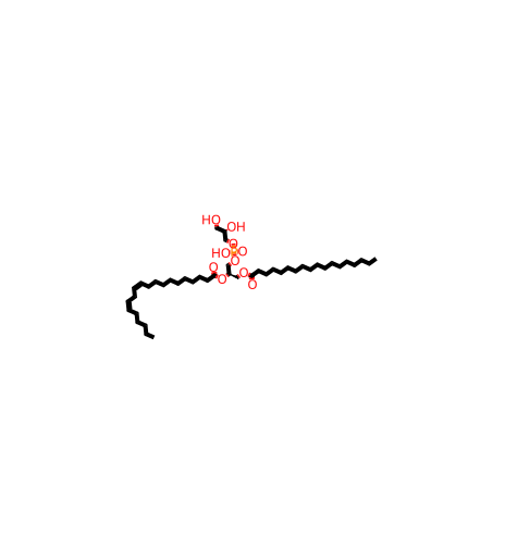 CCCCC/C=C\C/C=C\CCCCCCCCCC(=O)O[C@H](COC(=O)CCCCCCCCCCCCCCCCC)COP(=O)(O)OC[C@@H](O)CO